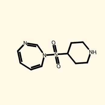 O=S(=O)(C1CCNCC1)N1C=CC=CN=C1